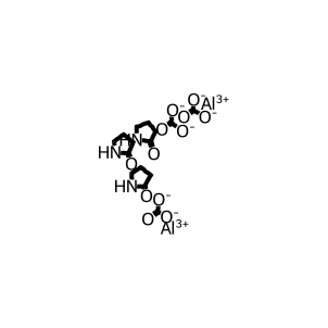 O=C([O-])[O-].O=C([O-])[O-].O=C([O-])[O-].O=C1CCCN1.O=C1CCCN1.O=C1CCCN1.[Al+3].[Al+3]